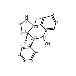 CN1c2ccccc2[C@@H]2NCC[C@H]2[C@@H]1c1ccccc1